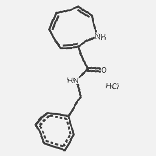 Cl.O=C(NCc1ccccc1)C1=CC=CC=CN1